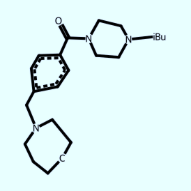 CCC(C)N1CCN(C(=O)c2ccc(CN3CCCCCC3)cc2)CC1